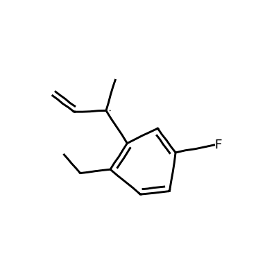 C=C[C](C)c1cc(F)ccc1CC